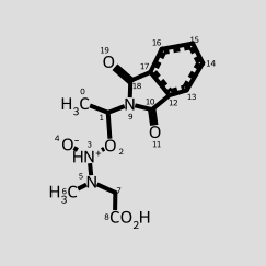 CC(O[NH+]([O-])N(C)CC(=O)O)N1C(=O)c2ccccc2C1=O